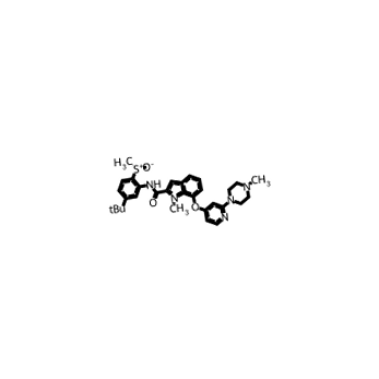 CN1CCN(c2cc(Oc3cccc4cc(C(=O)Nc5cc(C(C)(C)C)ccc5[S+](C)[O-])n(C)c34)ccn2)CC1